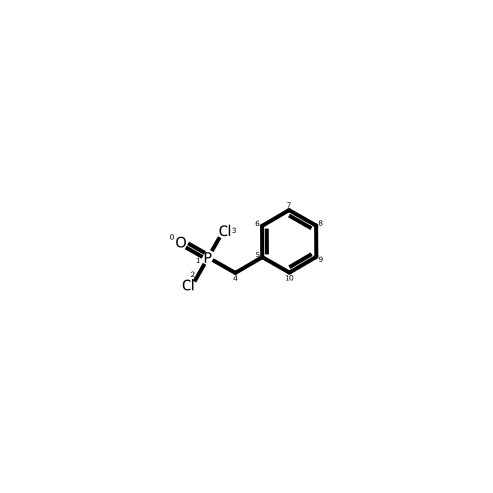 O=P(Cl)(Cl)Cc1ccccc1